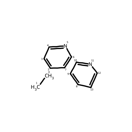 CC.c1ccncc1.c1ccncc1